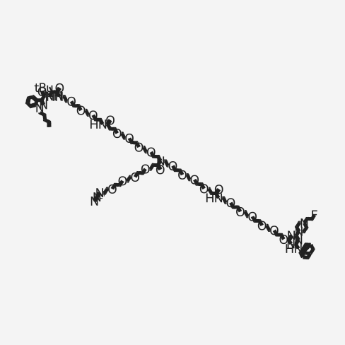 C=CCCCn1nc(C(=O)N[C@H](C(=O)NCCOCCOCCOCCNC(=O)CCOCCOCCOCCOCCN(CCOCCOCCOCCOCCC(=O)NCCOCCOCCOCCOCCOCCOc2nc(NC34CC5CC(CC(C5)C3)C4)nc(N3CCN(CCF)CC3)n2)C(=O)CCOCCOCCOCCOCCN=[N+]=[N-])C(C)(C)C)c2ccccc21